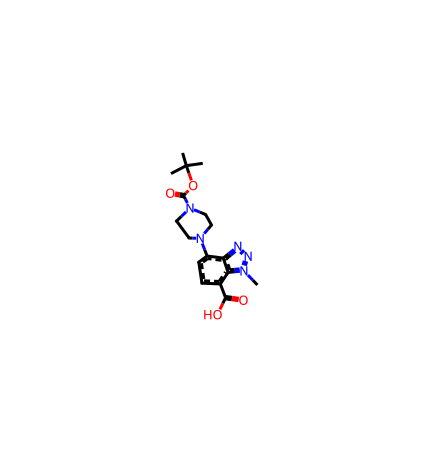 Cn1nnc2c(N3CCN(C(=O)OC(C)(C)C)CC3)ccc(C(=O)O)c21